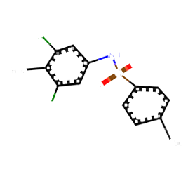 Cc1c(Cl)cc(NS(=O)(=O)c2ccc(C(C)(C)C)cc2)cc1Cl